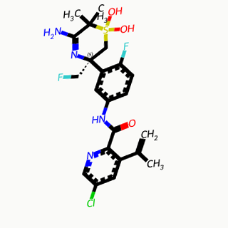 C=C(C)c1cc(Cl)cnc1C(=O)Nc1ccc(F)c([C@]2(CF)CS(O)(O)C(C)(C)C(N)=N2)c1